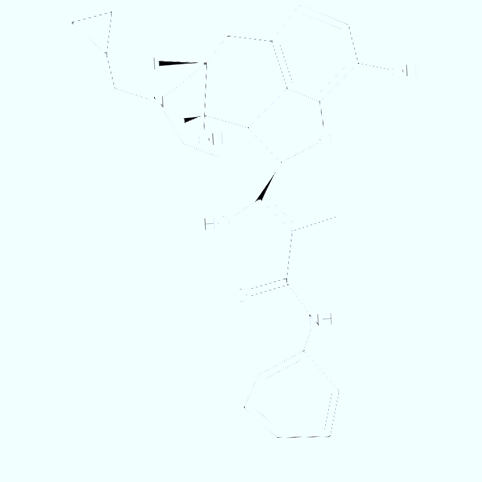 C/C(C(=O)Nc1ccccc1)=C(/O)[C@@H]1Oc2c(O)ccc3c2[C@@]12CCN(CC1CC1)[C@H](C3)[C@@]2(C)O